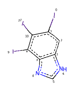 Ic1cc2[nH]cnc2c(I)c1I